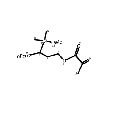 C=C(C)C(=O)OCCC(CCCCC)[Si](C)(C)OC